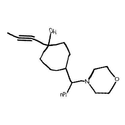 [CH2]CCC(C1CCC(O)(C#CC)CC1)N1CCOCC1